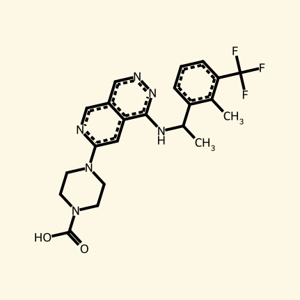 Cc1c(C(C)Nc2nncc3cnc(N4CCN(C(=O)O)CC4)cc23)cccc1C(F)(F)F